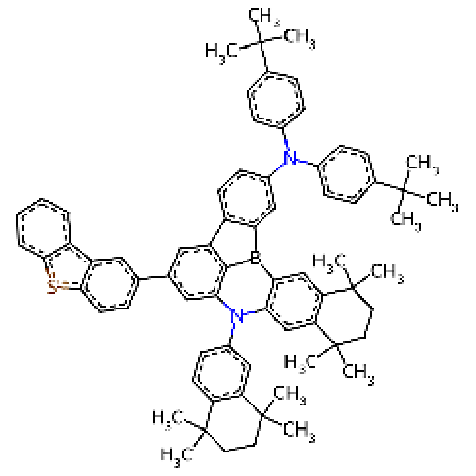 CC(C)(C)c1ccc(N(c2ccc(C(C)(C)C)cc2)c2ccc3c(c2)B2c4cc5c(cc4N(c4ccc6c(c4)C(C)(C)CCC6(C)C)c4cc(-c6ccc7sc8ccccc8c7c6)cc-3c42)C(C)(C)CCC5(C)C)cc1